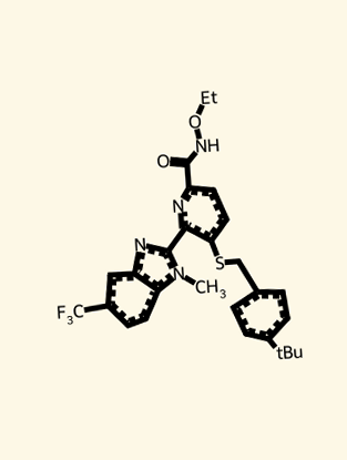 CCONC(=O)c1ccc(SCc2ccc(C(C)(C)C)cc2)c(-c2nc3cc(C(F)(F)F)ccc3n2C)n1